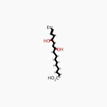 CCC=CCC(O)CCC(O)CCCCCCCCC(=O)O